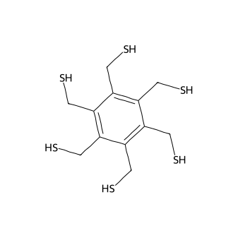 SCc1c(CS)c(CS)c(CS)c(CS)c1CS